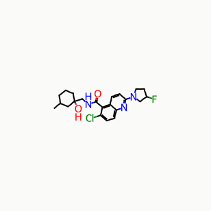 CC1CCCC(O)(CNC(=O)c2c(Cl)ccc3nc(N4CCC(F)C4)ccc23)C1